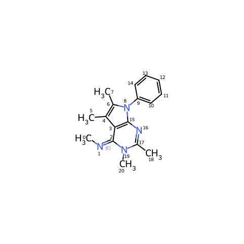 C/N=c1\c2c(C)c(C)n(-c3ccccc3)c2nc(C)n1C